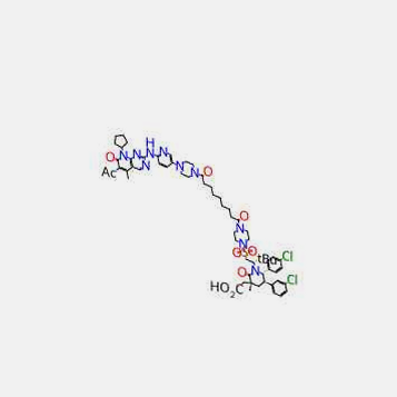 CC(=O)c1c(C)c2cnc(Nc3ccc(N4CCN(C(=O)CCCCCCCC(=O)N5CCN(S(=O)(=O)C[C@@H](N6C(=O)[C@@](C)(CC(=O)O)C[C@H](c7cccc(Cl)c7)[C@H]6c6ccc(Cl)cc6)C(C)(C)C)CC5)CC4)cn3)nc2n(C2CCCC2)c1=O